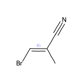 C/C(C#N)=C\Br